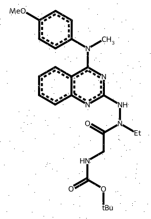 CCN(Nc1nc(N(C)c2ccc(OC)cc2)c2ccccc2n1)C(=O)CNC(=O)OC(C)(C)C